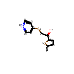 Cc1ccc(C(=O)CSc2ccncc2)s1